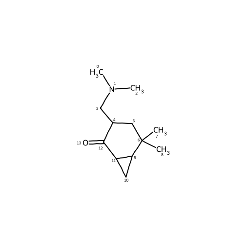 CN(C)CC1CC(C)(C)C2CC2C1=O